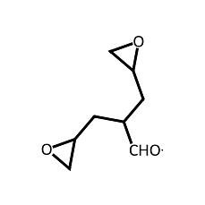 O=[C]C(CC1CO1)CC1CO1